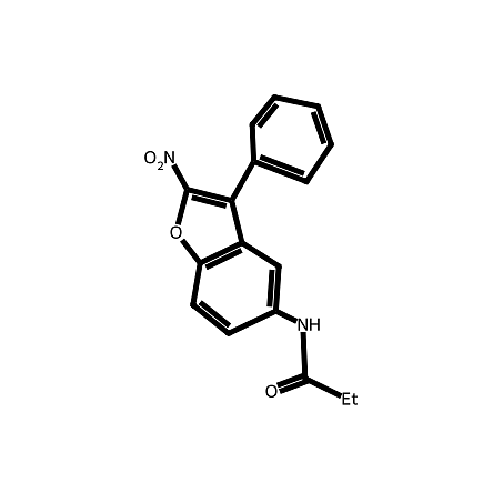 CCC(=O)Nc1ccc2oc([N+](=O)[O-])c(-c3ccccc3)c2c1